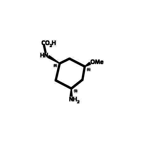 CO[C@H]1C[C@@H](N)C[C@@H](NC(=O)O)C1